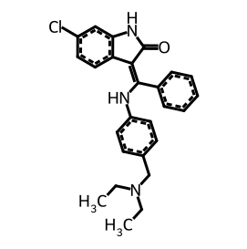 CCN(CC)Cc1ccc(NC(=C2C(=O)Nc3cc(Cl)ccc32)c2ccccc2)cc1